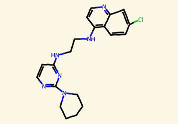 Clc1ccc2c(NCCNc3ccnc(N4CCCCC4)n3)ccnc2c1